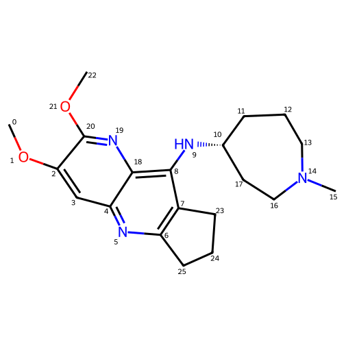 COc1cc2nc3c(c(N[C@@H]4CCCN(C)CC4)c2nc1OC)CCC3